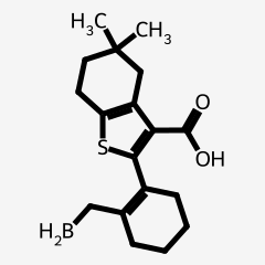 BCC1=C(c2sc3c(c2C(=O)O)CC(C)(C)CC3)CCCC1